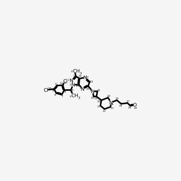 Cc1nn(C(C)c2ccc(Cl)cc2Cl)c2nc(N3CC(C4CCCN(CCCC=O)C4)C3)cnc12